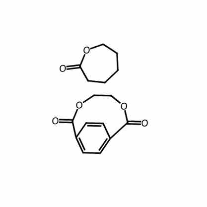 O=C1CCCCCO1.O=C1OCCOC(=O)c2ccc1cc2